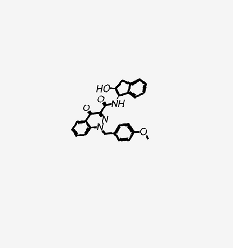 COc1ccc(Cn2nc(C(=O)N[C@H]3c4ccccc4C[C@@H]3O)c(=O)c3ccccc32)cc1